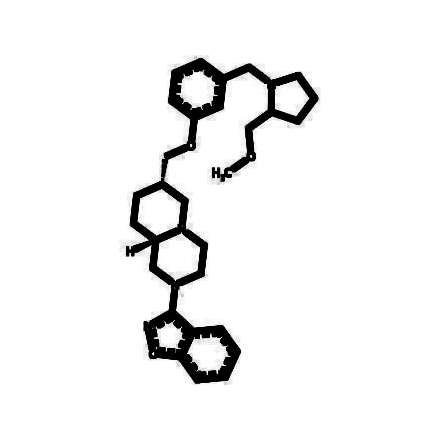 COCC1CCCN1Cc1cccc(OC[C@H]2CC[C@H]3CN(c4noc5ccccc45)CCN3C2)c1